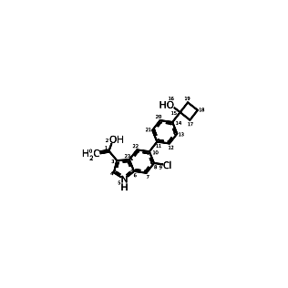 C=C(O)c1c[nH]c2cc(Cl)c(-c3ccc(C4(O)CCC4)cc3)cc12